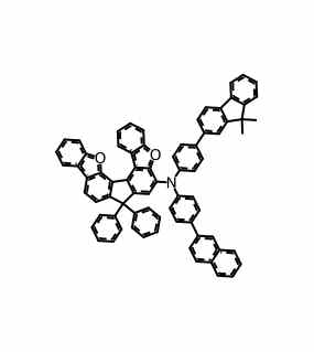 CC1(C)c2ccccc2-c2ccc(-c3ccc(N(c4ccc(-c5ccc6ccccc6c5)cc4)c4cc5c(c6c4oc4ccccc46)-c4c(ccc6c4oc4ccccc46)C5(c4ccccc4)c4ccccc4)cc3)cc21